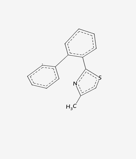 Cc1csc(-c2ccccc2-c2[c]cccc2)n1